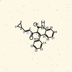 O=C(/C=C/C1CC1)c1c(-c2ccccc2)c2ccccc2[nH]c1=O